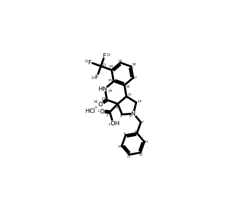 Cl.O=C(O)C12CN(Cc3ccccc3)CC1c1cccc(C(F)(F)F)c1NC2=O